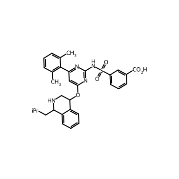 Cc1cccc(C)c1-c1cc(OC2CNC(CC(C)C)c3ccccc32)nc(NS(=O)(=O)c2cccc(C(=O)O)c2)n1